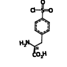 N[C@@H](Cc1ccc(S(=O)(=O)Cl)cc1)C(=O)O